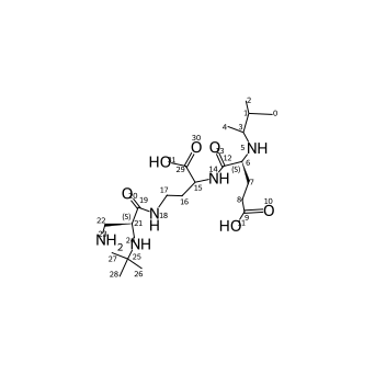 CC(C)C(C)N[C@@H](CCC(=O)O)C(=O)NC(CCNC(=O)[C@H](CN)NC(C)(C)C)C(=O)O